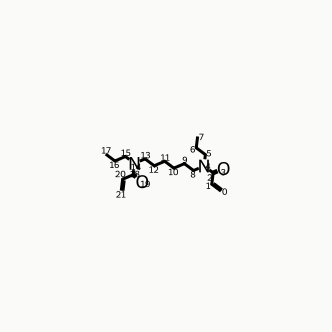 C=CC(=O)N(CCC)CCCCCCN(CCC)C(=O)C=C